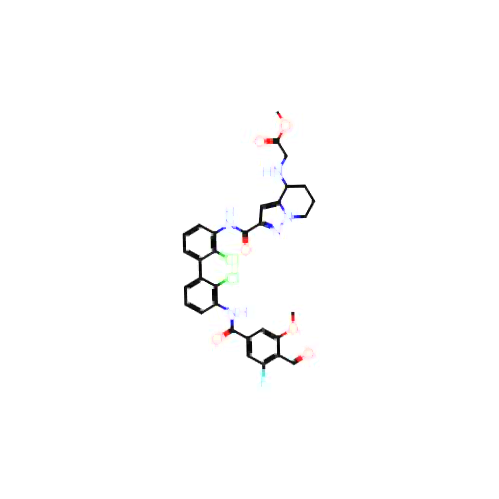 COC(=O)CNC1CCCn2nc(C(=O)Nc3cccc(-c4cccc(NC(=O)c5cc(F)c(C=O)c(OC)c5)c4Cl)c3Cl)cc21